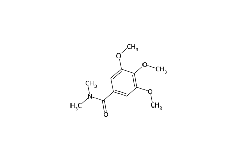 COc1cc(C(=O)N(C)C)cc(OC)c1OC